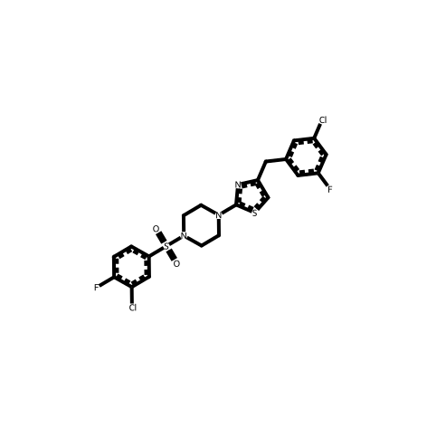 O=S(=O)(c1ccc(F)c(Cl)c1)N1CCN(c2nc(Cc3cc(F)cc(Cl)c3)cs2)CC1